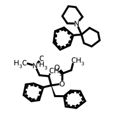 CCC(=O)O[C@](Cc1ccccc1)(c1ccccc1)[C@H](C)CN(C)C.c1ccc(C2(N3CCCCC3)CCCCC2)cc1